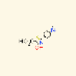 CN(C)c1ccc(-c2nc(O)c(C(=O)O)s2)cc1